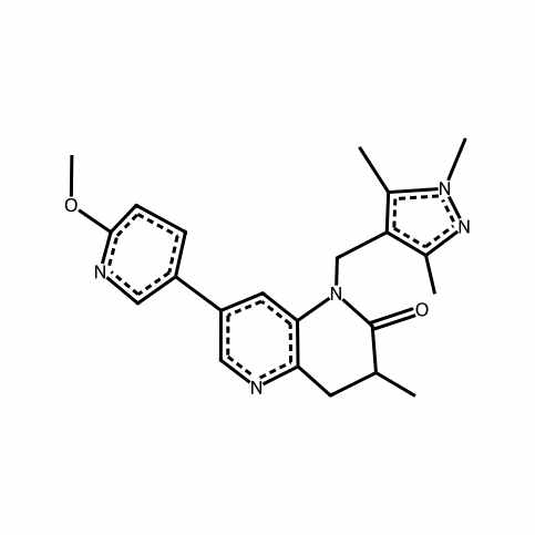 COc1ccc(-c2cnc3c(c2)N(Cc2c(C)nn(C)c2C)C(=O)C(C)C3)cn1